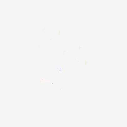 CC(C)(C)C(=O)N(CCC(F)(F)F)CC(F)(F)F